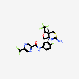 NC1=N[C@@]2(c3cc(NC(=O)c4cnc(C(F)F)cn4)ccc3F)COC(C(F)(F)F)[C@H]2CS1